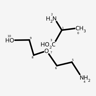 CC(N)C(=O)O.NCCOCCO